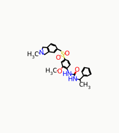 COc1cc(S(=O)(=O)Cc2ccc3c(c2)CN(C)C3)ccc1NC(=O)NC(C)c1ccccc1